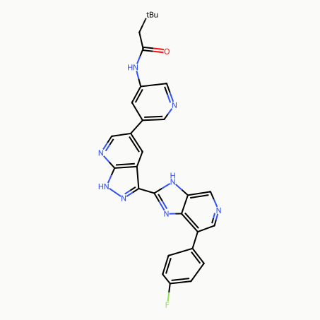 CC(C)(C)CC(=O)Nc1cncc(-c2cnc3[nH]nc(-c4nc5c(-c6ccc(F)cc6)cncc5[nH]4)c3c2)c1